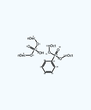 CCCCCCCCCCOP(=O)(O)OCCCCCCCCCC.CCCCCCCCOP(=O)(OCCCCCCCC)c1ccccc1